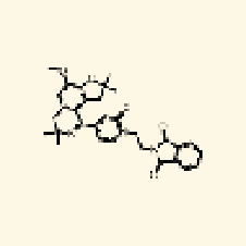 COc1cc2c(c3c1OC(C)(C)C3)C(c1ccn(CCN3C(=O)c4ccccc4C3=O)c(=O)c1)=NC(C)(C)C2